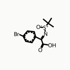 CC(C)(C)[S+]([O-])/N=C(/C(=O)O)c1ccc(Br)cc1